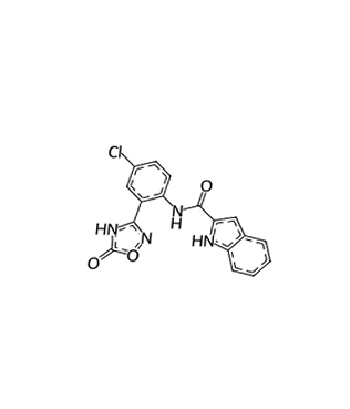 O=C(Nc1ccc(Cl)cc1-c1noc(=O)[nH]1)c1cc2ccccc2[nH]1